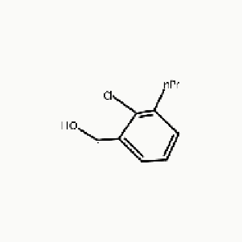 CCCc1cccc([CH]O)c1Cl